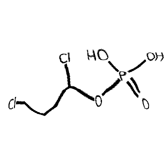 O=P(O)(O)OC(Cl)CCl